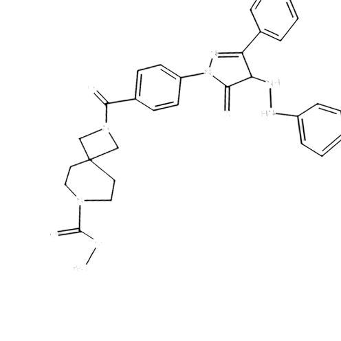 CC(C)(C)OC(=O)N1CCC2(CC1)CN(C(=O)c1ccc(N3N=C(c4ccccc4)C(NNc4ccccc4)C3=O)cc1)C2